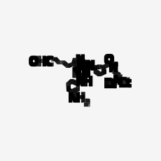 CCN(CC)CCN(C)C(=O)c1cccc(Nc2nc(Nc3cccc(N)c3)nc3c(CCCCC=O)cnn23)c1